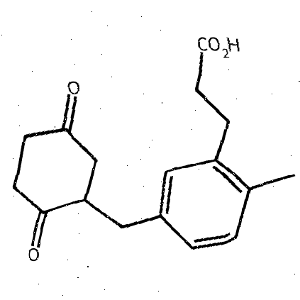 Cc1ccc(CC2CC(=O)CCC2=O)cc1CCC(=O)O